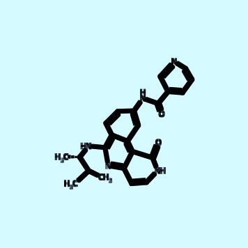 CC(C)[C@H](C)Nc1nc2cc[nH]c(=O)c2c2cc(NC(=O)c3cccnc3)ccc12